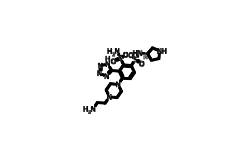 NCCN1CCN(c2ccc(S(=O)(=O)N[C@@H]3CCNC3)c(S(N)(=O)=O)c2-c2nnn[nH]2)CC1